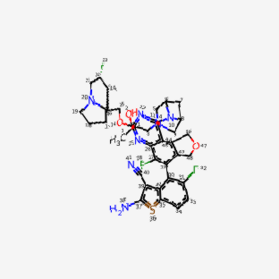 C[C@@H](O)CN1CC2CC(C1)N2c1nc(OCC23CCCN2C[C@H](F)C3)nc2c(F)c(-c3c(F)ccc4sc(N)c(C#N)c34)c3c(c12)COC3